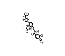 CC(C)Oc1ccc(C(=O)N[C@H](CNC(=O)[C@@H](C)N)Cc2ccc(-c3cn(C)c(C(C)(C)O)n3)cc2)cc1Cl